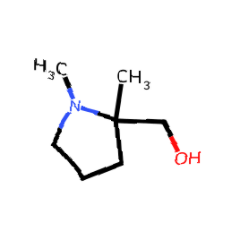 CN1CCCC1(C)CO